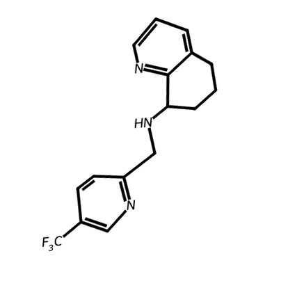 FC(F)(F)c1ccc(CNC2CCCc3cccnc32)nc1